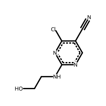 N#Cc1cnc(NCCO)nc1Cl